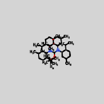 CC1CCC(C(C)C)C(N(C2CC(C)CCC2C(C)C)C(OC(C)(C)C)N(C2CC(C)CCC2C(C)C)C2CC(C)CCC2C(C)C)C1